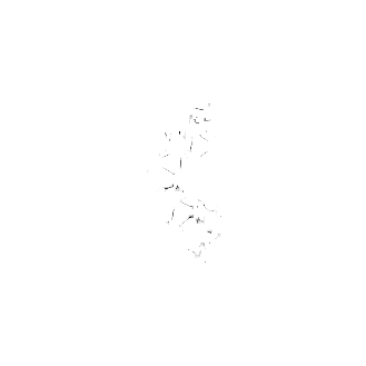 COc1cc(C(=O)N(C)c2ccccc2-c2ncco2)ccc1C(=O)Nc1cccc2c1nc(C)n2C(=O)OC(C)(C)C